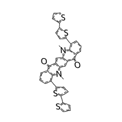 Cn1c2cc3c(=O)c4cccc(-c5ccc(-c6cccs6)s5)c4n(C)c3cc2c(=O)c2cccc(-c3ccc(-c4cccs4)s3)c21